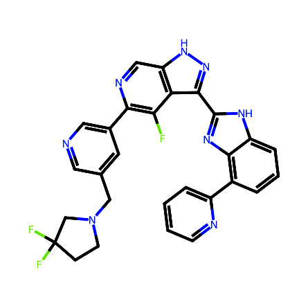 Fc1c(-c2cncc(CN3CCC(F)(F)C3)c2)ncc2[nH]nc(-c3nc4c(-c5ccccn5)cccc4[nH]3)c12